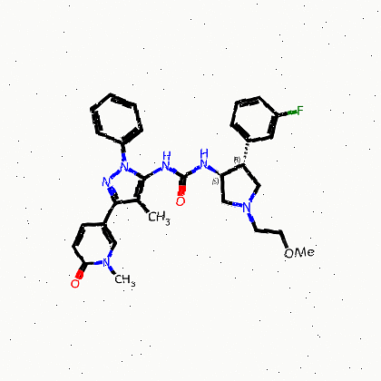 COCCN1C[C@@H](NC(=O)Nc2c(C)c(-c3ccc(=O)n(C)c3)nn2-c2ccccc2)[C@H](c2cccc(F)c2)C1